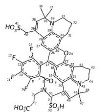 CN(CCC(=O)O)C(=O)c1c(F)c(F)c(F)c(F)c1C1=c2cc3c4c(c2Oc2c1cc1c5c2CCCN5C(C)(C)C=C1CS(=O)(=O)O)CCC[N+]=4C(C)(C)C=C3CS(=O)(=O)O